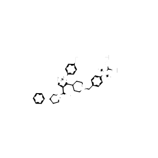 CC(C)S(=O)(=O)c1ccc(CN2CCC(c3c(C(=O)N4CC[C@H](c5ccccc5)C4)cnn3-c3ccc(F)cc3)CC2)cc1